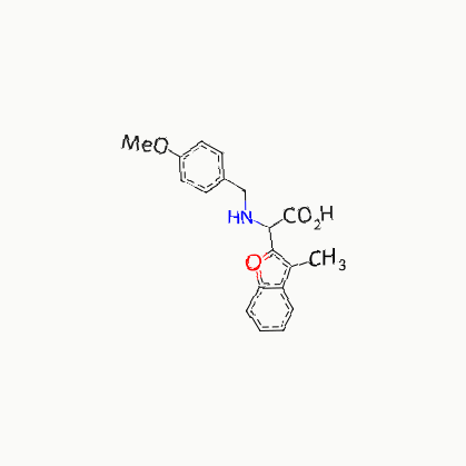 COc1ccc(CNC(C(=O)O)c2oc3ccccc3c2C)cc1